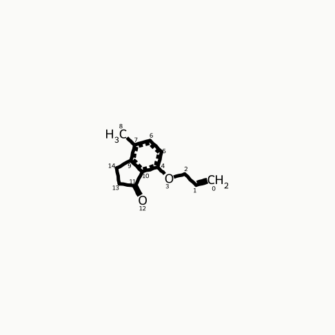 C=CCOc1ccc(C)c2c1C(=O)CC2